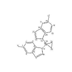 Cc1ccc2c(c1)C=C[CH]2[Ti]1([CH]2C=Cc3cc(C)ccc32)[CH2][CH2]1